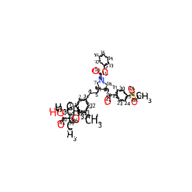 Cc1cc(CC[C@H]2CN(C(=O)Oc3ccccc3)C[C@@H]2C(=O)c2ccc(S(C)(=O)=O)cc2)cc(C)c1OC(C)(C)C(=O)O